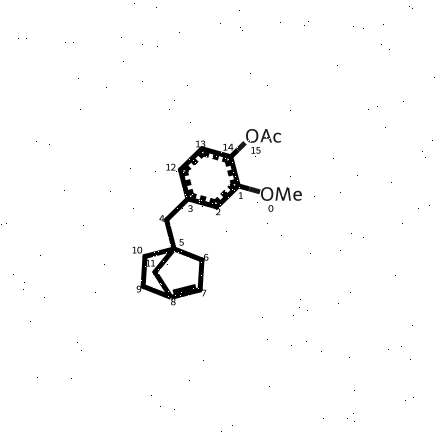 COc1cc(CC23CC=C(CC2)C3)ccc1OC(C)=O